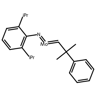 CC(C)c1cccc(C(C)C)c1[N]=[Mo]=[CH]C(C)(C)c1ccccc1